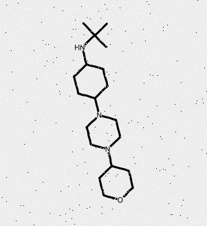 CC(C)(C)NC1CCC(N2CCN(C3CCOCC3)CC2)CC1